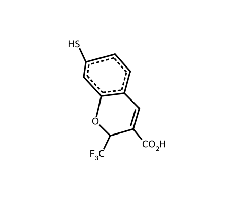 O=C(O)C1=Cc2ccc(S)cc2OC1C(F)(F)F